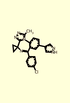 Cc1nnc2n1-c1ccc(-c3cn[nH]c3)cc1C(c1ccc(Cl)cc1)=NC21CC1